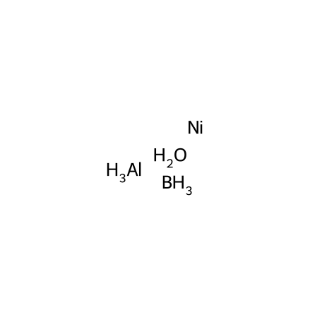 B.O.[AlH3].[Ni]